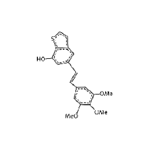 COc1cc(/C=C/c2cc(O)c3sccc3c2)cc(OC)c1OC